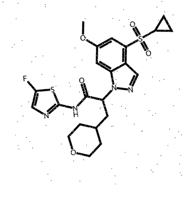 COc1cc(S(=O)(=O)C2CC2)c2cnn(C(CC3CCOCC3)C(=O)Nc3ncc(F)s3)c2c1